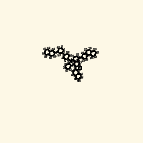 c1cc(-c2ccc(N(c3ccc(-c4ccc5c(ccc6ccccc65)c4)cc3)c3ccccc3-c3cccc4oc5c6ccccc6ccc5c34)cc2)cc(-c2ccc3ccccc3c2)c1